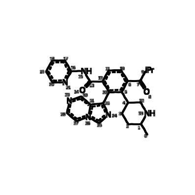 CC1CCC(c2c(C(=O)C(C)C)ccc(C(=O)Nc3ccccn3)c2-c2ncn3ccncc23)CN1